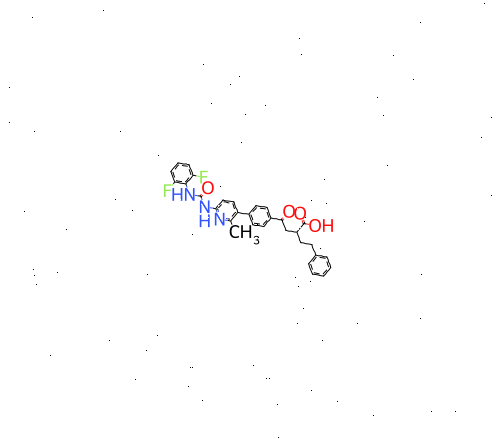 Cc1nc(NC(=O)Nc2c(F)cccc2F)ccc1-c1ccc(C(=O)CC(CCc2ccccc2)C(=O)O)cc1